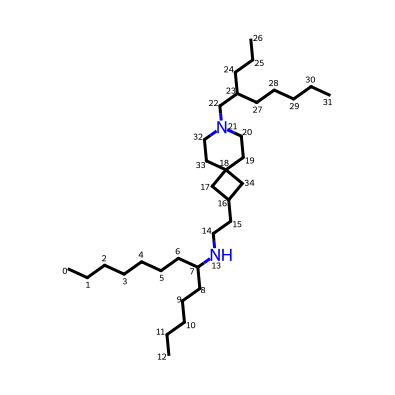 CCCCCCCC(CCCCC)NCCC1CC2(CCN(CC(CCC)CCCCC)CC2)C1